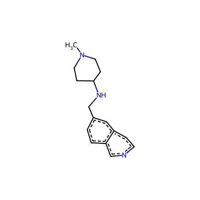 CN1CCC(NCc2ccc3cnccc3c2)CC1